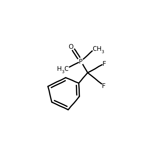 CP(C)(=O)C(F)(F)c1ccccc1